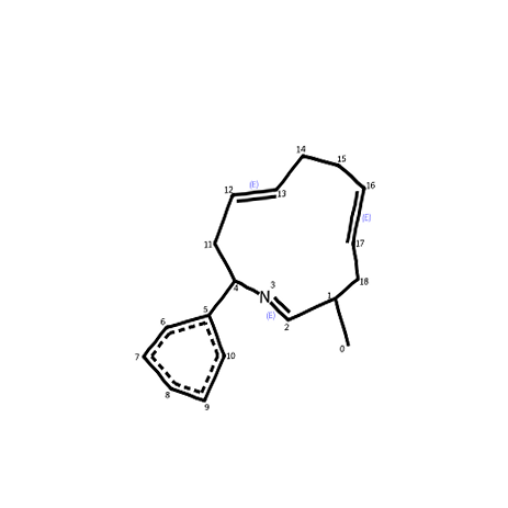 CC1/C=N/C(c2ccccc2)C/C=C/CC/C=C/C1